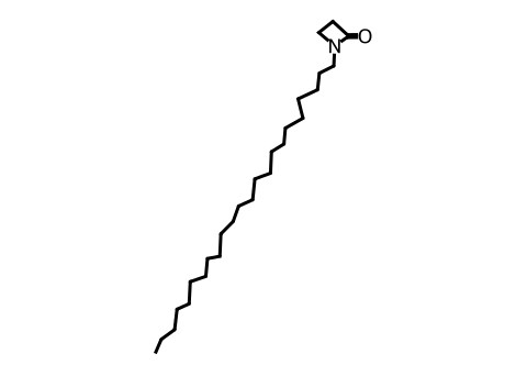 CCCCCCCCCCCCCCCCCCCCCCCN1CCC1=O